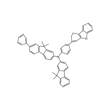 CC1(C)c2ccccc2-c2ccc(N(c3ccc(C4=Cc5oc6ccccc6c5CC4)cc3)c3ccc4c(c3)C(C)(C)c3cc(-c5ccccc5)ccc3-4)cc21